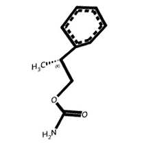 C[C@@H](COC(N)=O)c1ccccc1